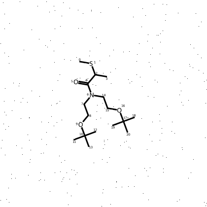 CSC(C)C(=O)N(CCOC(C)(C)C)CCOC(C)(C)C